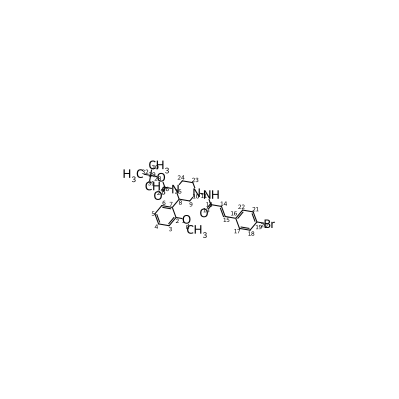 COc1ccccc1C1CN(NC(=O)C=Cc2ccc(Br)cc2)CCN1C(=O)OC(C)(C)C